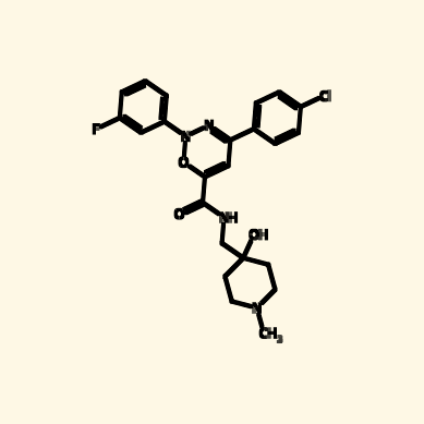 CN1CCC(O)(CNC(=O)C2=CC(c3ccc(Cl)cc3)=NN(c3cccc(F)c3)O2)CC1